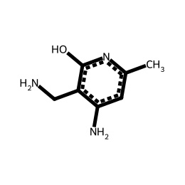 Cc1cc(N)c(CN)c(O)n1